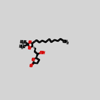 CCCCCCCCCCC1OC(C)(C)O[C@H]1CCC(O)[C@H]1CCC(=O)O1